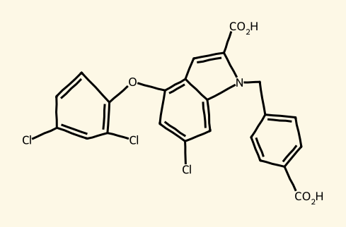 O=C(O)c1ccc(Cn2c(C(=O)O)cc3c(Oc4ccc(Cl)cc4Cl)cc(Cl)cc32)cc1